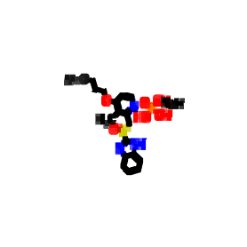 COCCCOc1ccnc(C[S+]([O-])c2nc3ccccc3[nH]2)c1C.O=P(O)(O)O.[NaH]